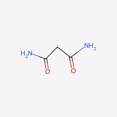 NC(=O)[CH]C(N)=O